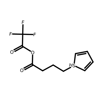 O=C(CCC[SH]1C=CC=C1)OC(=O)C(F)(F)F